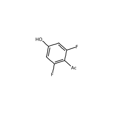 CC(=O)c1c(F)cc(O)cc1F